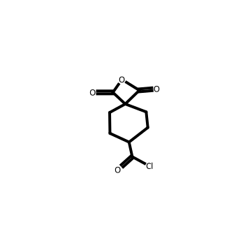 O=C(Cl)C1CCC2(CC1)C(=O)OC2=O